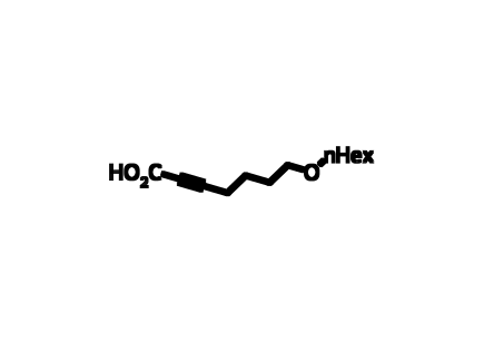 [CH2]CCCCCOCCCCC#CC(=O)O